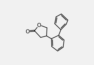 O=C1CC(c2ccccc2-c2ccccc2)CO1